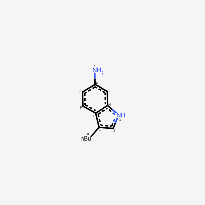 CCCCc1c[nH]c2cc(N)ccc12